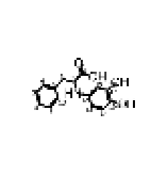 O=C(O)[C@H](Cc1ccccc1)Nc1ccc(O)c(O)c1